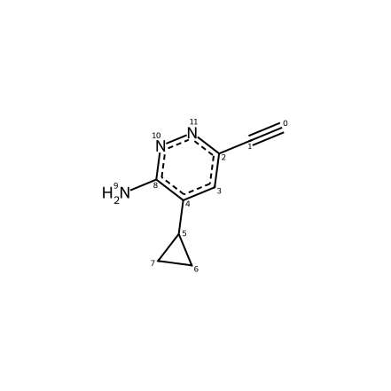 C#Cc1cc(C2CC2)c(N)nn1